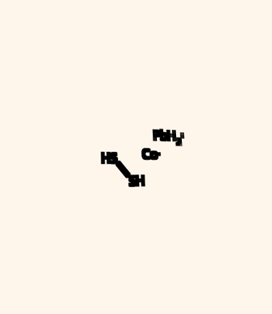 SS.[Co].[PbH2]